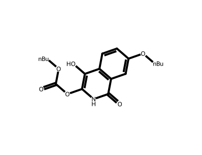 CCCCOC(=O)Oc1[nH]c(=O)c2cc(OCCCC)ccc2c1O